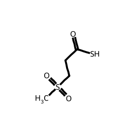 CS(=O)(=O)CCC(=O)S